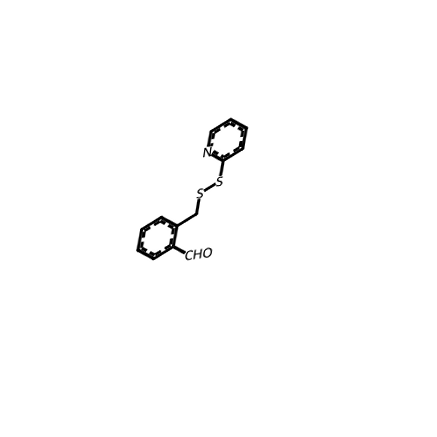 O=Cc1ccccc1CSSc1ccccn1